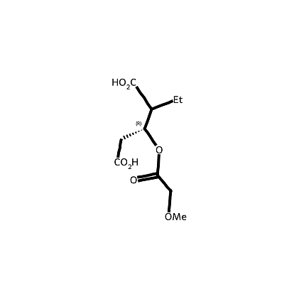 CCC(C(=O)O)[C@@H](CC(=O)O)OC(=O)COC